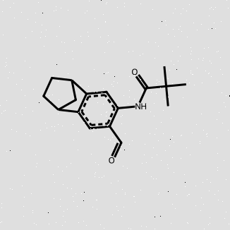 CC(C)(C)C(=O)Nc1cc2c(cc1C=O)C1CCC2C1